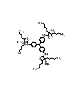 Cl.NCCCC[C@](N)(C(=O)CCCN)C(=O)Nc1ccc(C(c2ccc(NC(=O)[C@](N)(CCCCN)C(=O)CCCN)cc2)c2ccc(NC(=O)[C@](N)(CCCCN)C(=O)CCCN)cc2)cc1